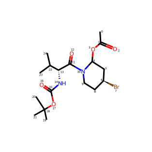 CC(=O)OC1C[C@@H](Br)CCN1C(=O)[C@H](NC(=O)OC(C)(C)C)C(C)C